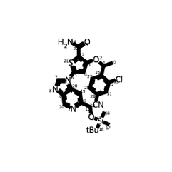 CC(Oc1cc(-n2cnc3cnc(CO[Si](C)(C)C(C)(C)C)cc32)sc1C(N)=O)c1ccc(C#N)cc1Cl